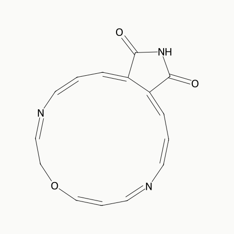 O=C1NC(=O)C2=CC=CN=CCOC=CC=NC=CC=C12